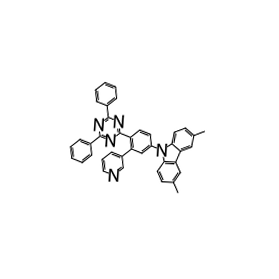 Cc1ccc2c(c1)c1cc(C)ccc1n2-c1ccc(-c2nc(-c3ccccc3)nc(-c3ccccc3)n2)c(-c2cccnc2)c1